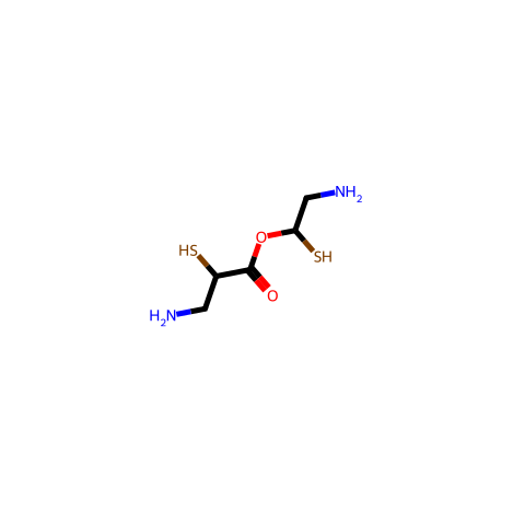 NCC(S)OC(=O)C(S)CN